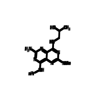 CCCNc1nc(N)nc2c(NCC(C)O)nc(NC)nc12